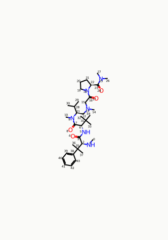 CN[C@H](C(=O)N[C@H](C(=O)N(C)[C@H](CN(C)CC(=O)N1CCC[C@H]1C(=O)N(C)C)C(C)C)C(C)(C)C)C(C)(C)c1ccccc1